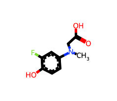 CN(CC(=O)O)c1ccc(O)c(F)c1